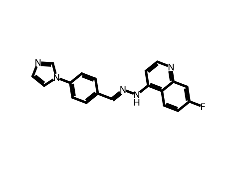 Fc1ccc2c(N/N=C/c3ccc(-n4ccnc4)cc3)ccnc2c1